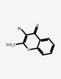 CCOC(=O)c1oc2ccccc2c(=O)c1Br